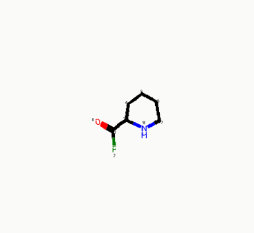 O=C(F)C1CCCCN1